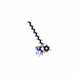 CCCCCCCCCCCCCCN(c1ccccc1)c1snnc1C(N)=O